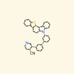 N#Cc1ccncc1-c1cccc(-c2cccc(-n3c4ccccc4c4c5sc6ccccc6c5ccc43)c2)c1